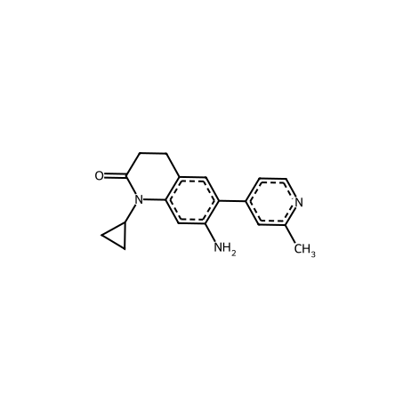 Cc1cc(-c2cc3c(cc2N)N(C2CC2)C(=O)CC3)ccn1